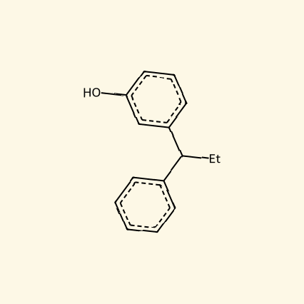 CCC(c1ccccc1)c1cccc(O)c1